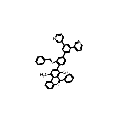 Cc1c(-c2ccc(-c3cc(-c4cccnc4)cc(-c4cccnc4)c3)cc2/N=C/c2ccccc2)cc(C)c2c1c(-c1ccccc1)nc1ccccc12